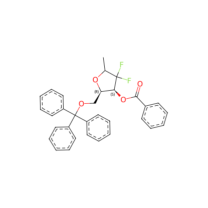 CC1O[C@H](COC(c2ccccc2)(c2ccccc2)c2ccccc2)[C@H](OC(=O)c2ccccc2)C1(F)F